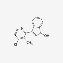 Cc1c(Cl)ncnc1C1=CC(O)c2ccccc21